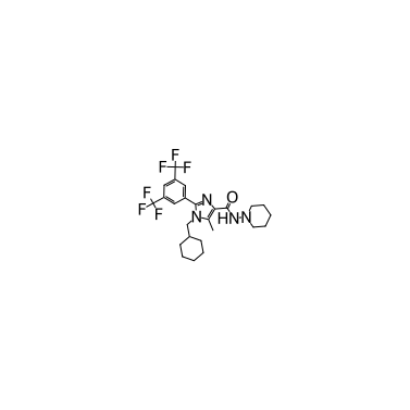 Cc1c(C(=O)NN2CCCCC2)nc(-c2cc(C(F)(F)F)cc(C(F)(F)F)c2)n1CC1CCCCC1